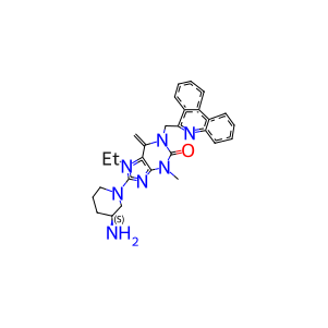 C=C1c2c(nc(N3CCC[C@H](N)C3)n2CC)N(C)C(=O)N1Cc1nc2ccccc2c2ccccc12